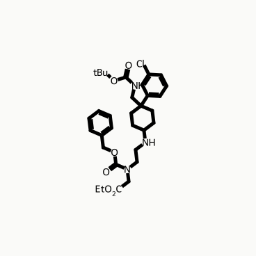 CCOC(=O)CN(CCNC1CCC(CNC(=O)OC(C)(C)C)(c2cccc(Cl)c2)CC1)C(=O)OCc1ccccc1